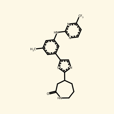 Cc1cc(Nc2nccc(C(F)(F)F)n2)cc(-c2cnc(C3CCCNC(=O)C3)s2)c1